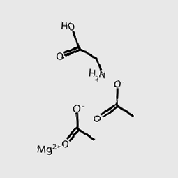 CC(=O)[O-].CC(=O)[O-].NCC(=O)O.[Mg+2]